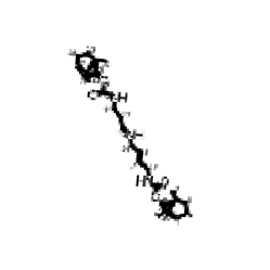 CC1(C)C2CCC1(C)C(OC(=O)NCCCCNCCCNC(=O)OC1CC3CCC1(C)C3(C)C)C2